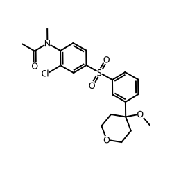 COC1(c2cccc(S(=O)(=O)c3ccc(N(C)C(C)=O)c(Cl)c3)c2)CCOCC1